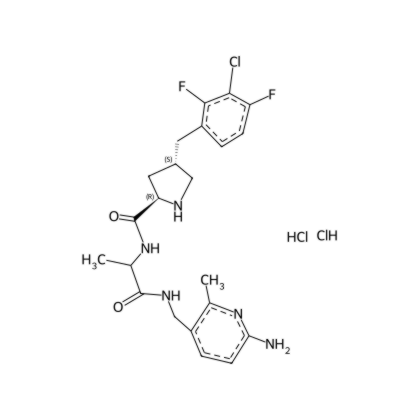 Cc1nc(N)ccc1CNC(=O)C(C)NC(=O)[C@H]1C[C@H](Cc2ccc(F)c(Cl)c2F)CN1.Cl.Cl